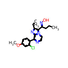 CCCC(=NO)c1c(CC)nc2c(-c3ccc(OC)cc3Cl)nccn12